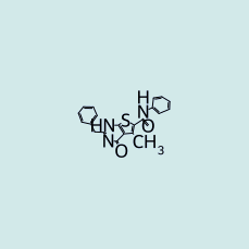 Cc1c(C(=O)Nc2ccccc2)sc2[nH]c(Cc3ccccc3)nc(=O)c12